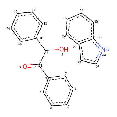 O=C(c1ccccc1)C(O)c1ccccc1.c1ccc2[nH]ccc2c1